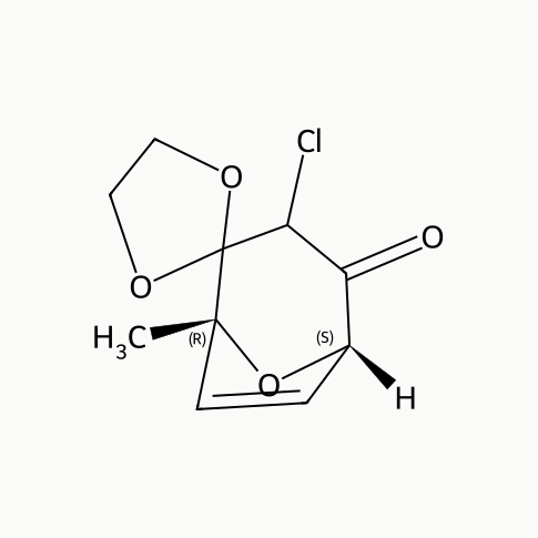 C[C@]12C=C[C@H](O1)C(=O)C(Cl)C21OCCO1